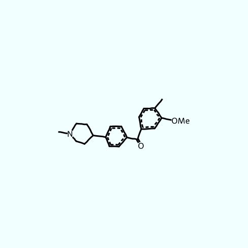 COc1cc(C(=O)c2ccc(C3CCN(C)CC3)cc2)ccc1C